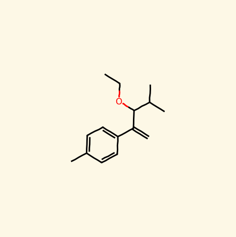 C=C(c1ccc(C)cc1)C(OCC)C(C)C